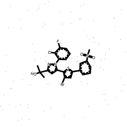 CC(C)(O)c1cc(-c2sc(-c3cccc(S(C)(=O)=O)c3)cc2Br)n(-c2cccc(F)c2Cl)n1